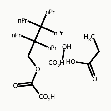 CCC(=O)O.CCCC(CCC)(CCC)C(CCC)(CCC)COC(=O)C(=O)O.O=C(O)O